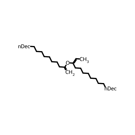 C=C(CCCCCCCCCCCCCCCCCC)OC(=CC)CCCCCCCCCCCCCCCCCC